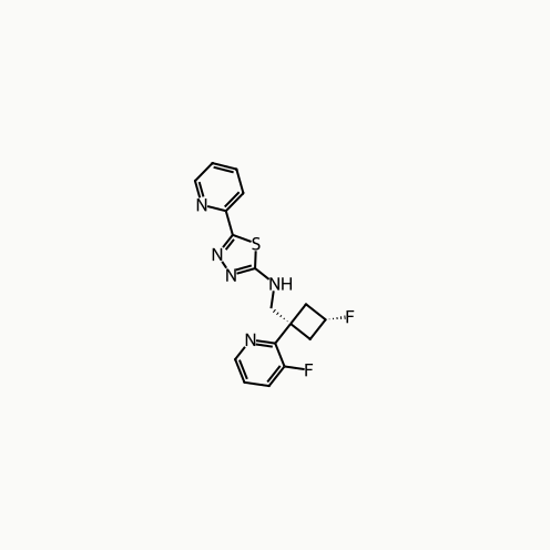 Fc1cccnc1[C@]1(CNc2nnc(-c3ccccn3)s2)C[C@@H](F)C1